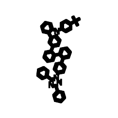 CC(C)(C)c1ccc(-n2c3ccccc3c3cc(-c4ccccc4-c4ccccc4-c4ccc(-n5nc(-c6ccccc6)nc5-c5ccccc5)cc4)ccc32)cc1